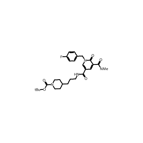 CNC(=O)c1cc(C(=O)NCCCC2CCN(C(=O)OC(C)(C)C)CC2)cn(Cc2ccc(F)cc2)c1=O